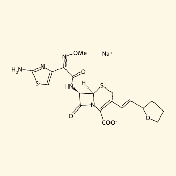 CO/N=C(\C(=O)N[C@@H]1C(=O)N2C(C(=O)[O-])=C(/C=C/C3CCCO3)CS[C@H]12)c1csc(N)n1.[Na+]